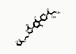 O=C([C@@H](O)CO)N1CC=C(c2c(F)cc(N3C[C@H](CCOc4ccon4)OC3=O)cc2F)CC1